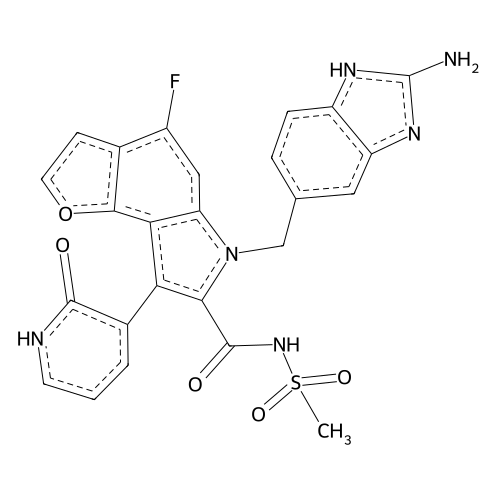 CS(=O)(=O)NC(=O)c1c(-c2ccc[nH]c2=O)c2c3occc3c(F)cc2n1Cc1ccc2[nH]c(N)nc2c1